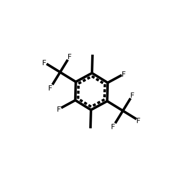 Cc1c(F)c(C(F)(F)F)c(C)c(F)c1C(F)(F)F